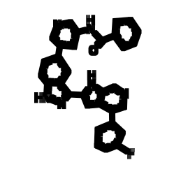 O=C(Nc1cncc(-c2ccc3[nH]nc(-c4cc5c(-c6cccc(F)c6)cncc5[nH]4)c3c2)c1)c1ccccc1